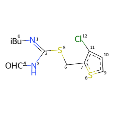 CCC(C)/N=C(\NC=O)SCc1sccc1Cl